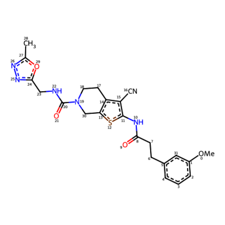 COc1cccc(CCC(=O)Nc2sc3c(c2C#N)CCN(C(=O)NCc2nnc(C)o2)C3)c1